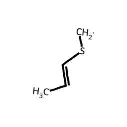 [CH2]SC=CC